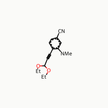 CCOC(C#Cc1ccc(C#N)cc1NC)OCC